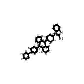 CCc1nc2ccccc2n1C1=CC=C(C2=c3ccccc3=C(c3ccc(-c4ccccc4)cc3)C3CC=CC=C23)CC1